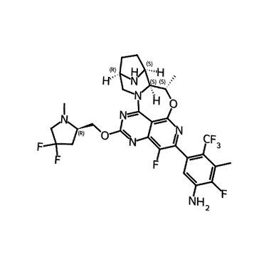 Cc1c(F)c(N)cc(-c2nc3c4c(nc(OC[C@H]5CC(F)(F)CN5C)nc4c2F)N2C[C@H]4CC[C@H](N4)[C@H]2[C@H](C)O3)c1C(F)(F)F